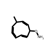 CC1C=C=C/C=C/C(ON)/C=C\1